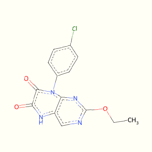 CCOc1ncc2[nH]c(=O)c(=O)n(-c3ccc(Cl)cc3)c2n1